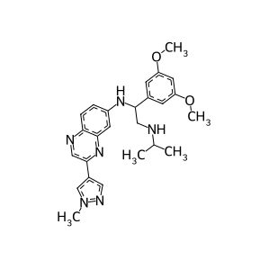 COc1cc(OC)cc(C(CNC(C)C)Nc2ccc3ncc(-c4cnn(C)c4)nc3c2)c1